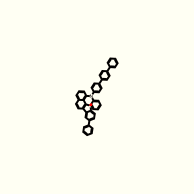 c1ccc(-c2ccc(-c3ccc(N(c4ccccc4)c4cccc5ccc6c7cc(-c8ccccc8)ccc7sc6c45)cc3)cc2)cc1